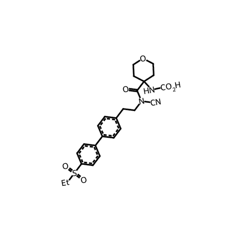 CCS(=O)(=O)c1ccc(-c2ccc(CCN(C#N)C(=O)C3(NC(=O)O)CCOCC3)cc2)cc1